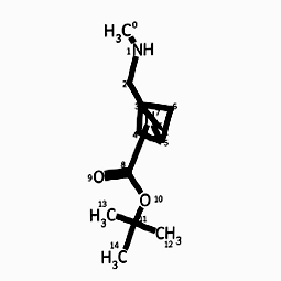 CNCC12CC(C1)N(C(=O)OC(C)(C)C)C2